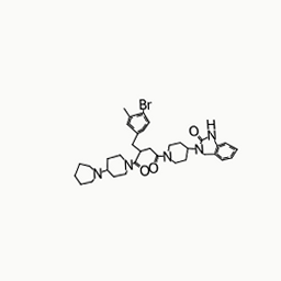 Cc1cc(CC(CC(=O)N2CCC(N3Cc4ccccc4NC3=O)CC2)C(=O)N2CCC(N3CCCCC3)CC2)ccc1Br